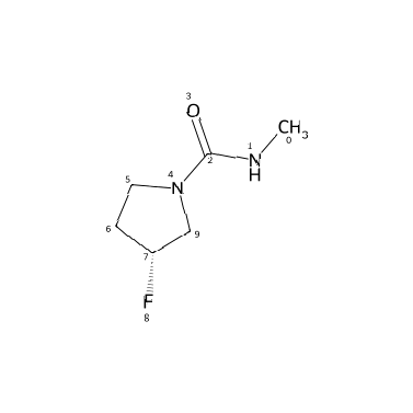 CNC(=O)N1CC[C@@H](F)C1